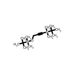 CC(C)(C)[Si](C)(C)C#CCO[Si](C)(C)C(C)(C)C